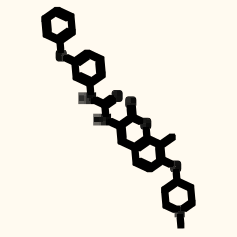 Cc1c(OC2CCN(C)CC2)ccc2cc(NC(=O)Nc3cccc(Oc4ccccc4)c3)c(=O)oc12